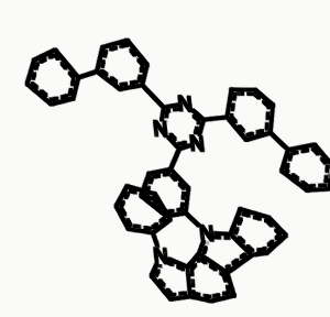 c1ccc(-c2cccc(-c3nc(-c4cccc(-c5ccccc5)c4)nc(-c4cccc(-n5c6ccccc6c6ccc7ccn(-c8ccccc8)c7c65)c4)n3)c2)cc1